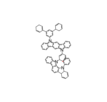 C1=CCC(c2cc(C3=CCCC=C3)cc(-n3c4ccccc4c4cc5c(cc43)c3ccccc3n5C3=CC(n4c5ccccc5c5ccc6c(c54)N(c4ccccc4)C4C=CC=CC64)CC=C3)c2)C=C1